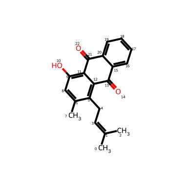 CC(C)=CCc1c(C)cc(O)c2c1C(=O)c1ccccc1C2=O